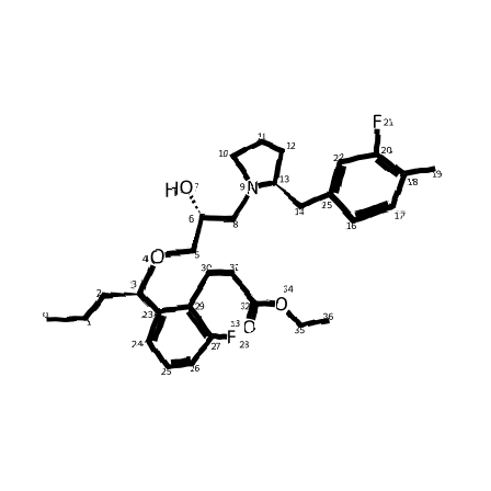 CCC[C@@H](OC[C@H](O)CN1CCC[C@H]1Cc1ccc(C)c(F)c1)c1cccc(F)c1CCC(=O)OCC